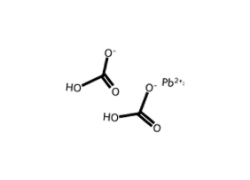 O=C([O-])O.O=C([O-])O.[Pb+2]